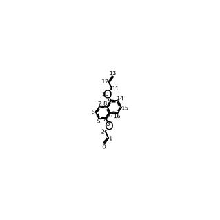 C=CCOc1cccc2c(OCC=C)cccc12